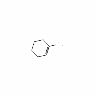 N#CC1=CCCC[CH]1